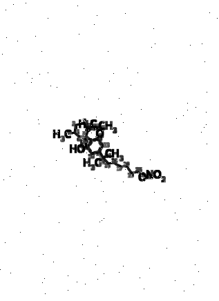 CC1=CC[C@@H]2[C@@H](C1)c1c(O)cc(C(C)(C)CCCCCCO[N+](=O)[O-])cc1OC2(C)C